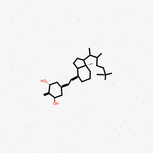 C=C1[C@H](O)CC(=C/C=C2\CCC[C@@]3(C)C2CCC3C(C)C(C)CCC(C)(C)C)C[C@H]1O